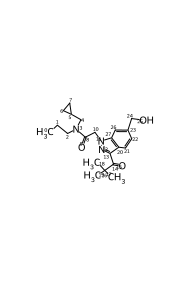 CCCN(CC1CC1)C(=O)Cn1nc(C(=O)C(C)(C)C)c2ccc(CO)cc21